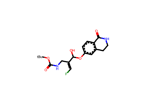 CC(C)(C)OC(=O)NCC(=CF)C(O)Oc1ccc2c(c1)CCNC2=O